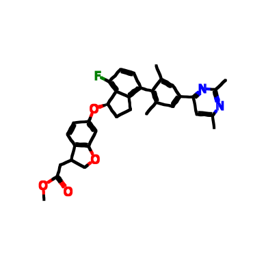 COC(=O)CC1COc2cc(O[C@@H]3CCc4c(-c5c(C)cc(-c6cc(C)nc(C)n6)cc5C)ccc(F)c43)ccc21